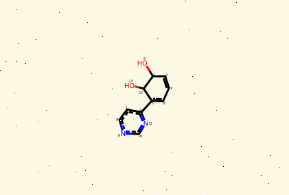 OC1C=CC=C(c2ccncn2)C1O